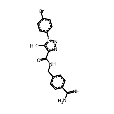 Cc1c(C(=O)NCc2ccc(C(=N)N)cc2)nnn1-c1ccc(Br)cc1